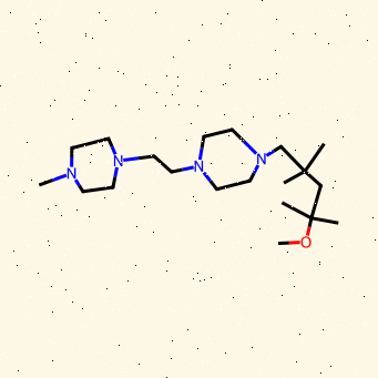 COC(C)(C)CC(C)(C)CN1CCN(CCN2CCN(C)CC2)CC1